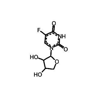 O=c1[nH]c(=O)n(C2OCC(O)C2O)cc1F